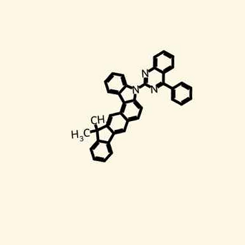 CC1(C)c2ccccc2-c2cc3ccc4c(c3cc21)c1ccccc1n4-c1nc(-c2ccccc2)c2ccccc2n1